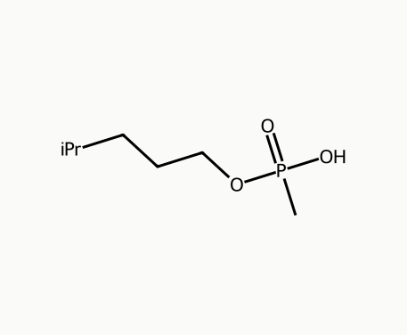 CC(C)CCCOP(C)(=O)O